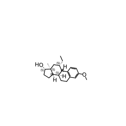 CC[C@H]1C[C@@]2(C)[C@H](CC[C@@H]2O)[C@@H]2CCc3cc(OC)ccc3[C@@H]12